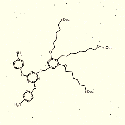 CCCCCCCCCCCCCCCCOc1cc(COc2nc(Oc3ccc(N)cc3)nc(Oc3ccc(N)cc3)n2)cc(OCCCCCCCCCCCCCCCC)c1CCCCCCCCOCCCCCCCC